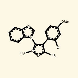 COc1ccc(-c2c(C)nn(C)c2-n2cnc3ccccc32)c(Cl)c1